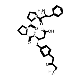 CCC(=O)Cc1ccc(C[C@@H](CC(=O)O)NC(=O)[C@@H]2CCCN2C(=O)[C@@H]2CCCN2C(=O)[C@@H](N)Cc2ccccc2)cc1